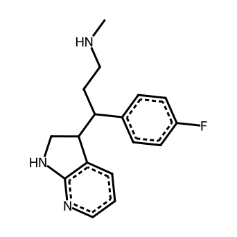 CNCCC(c1ccc(F)cc1)C1CNc2ncccc21